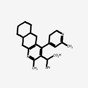 CCCC(C(=O)O)c1c(C)nc2c(c1C1=CC(C)=NCC1)CC1CCCCC1C2